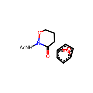 CC(=O)NN1OCCCC1=O.c1cc2ccc1o2